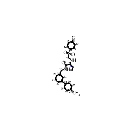 C/C=C(/NCS(=O)(=O)c1ccc(Cl)cc1)C(=O)NCc1cccc(-c2ccc(C(F)(F)F)cc2)c1